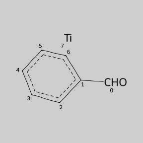 O=Cc1ccccc1.[Ti]